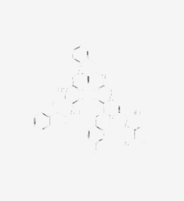 CC(C)[C@H](N)C(=O)N[C@H](C(=O)N[C@@H](Cc1ccc(O)cc1)C(=O)N[C@@H](C)C(=O)N[C@@H](Cc1ccccc1)C(=O)N[C@@H](C)C(=O)N[C@H](C(=O)N[C@@H](Cc1ccccc1)C(=O)O)C(C)C)C(C)C